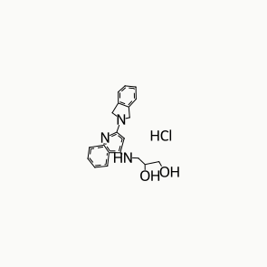 Cl.OCC(O)CNc1cc(N2Cc3ccccc3C2)nc2ccccc12